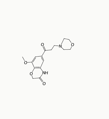 COc1cc(C(=O)CCN2CCOCC2)cc2c1OCC(=O)N2